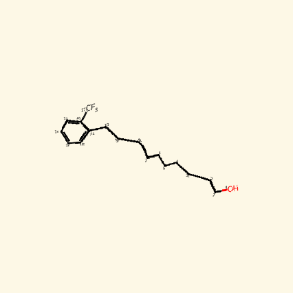 OCCCCCCCCCCc1ccccc1C(F)(F)F